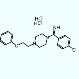 Cl.Cl.N=C(c1ccc(Cl)cc1)N1CCN(CCOc2ccccc2)CC1